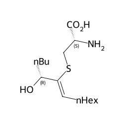 CCCCCCC=C(SC[C@@H](N)C(=O)O)[C@H](O)CCCC